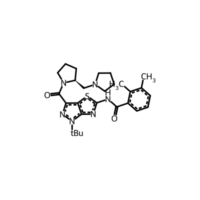 Cc1cccc(C(=O)Nc2nc3c(s2)c(C(=O)N2CCC[C@H]2CN2CCCC2)nn3C(C)(C)C)c1C